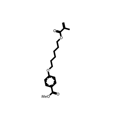 C=C(C)C(=O)OCCCCCCOc1ccc(C(=O)OC)cc1